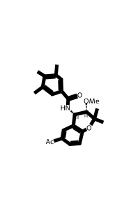 CO[C@H]1[C@@H](NC(=O)c2cc(C)c(C)c(C)c2)c2cc(C(C)=O)ccc2OC1(C)C